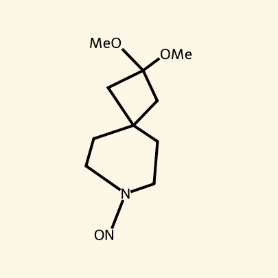 COC1(OC)CC2(CCN(N=O)CC2)C1